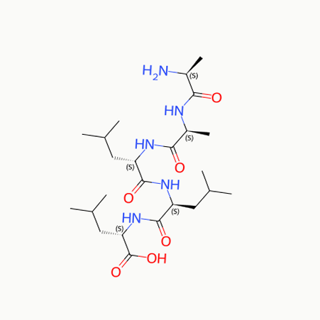 CC(C)C[C@H](NC(=O)[C@H](CC(C)C)NC(=O)[C@H](CC(C)C)NC(=O)[C@H](C)NC(=O)[C@H](C)N)C(=O)O